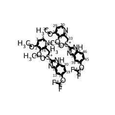 COc1ccnc(C[S+]([O-])c2nc3cc(OC(F)F)ccc3[nH]2)c1OC.COc1ccnc(C[S+]([O-])c2nc3cc(OC(F)F)ccc3[nH]2)c1OC